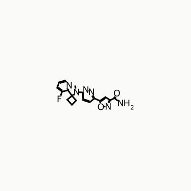 CN(c1ccc(-c2cc(C(N)=O)no2)nn1)C1(c2ncccc2F)CCC1